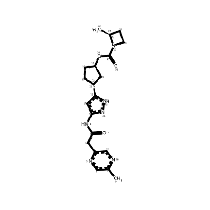 Cc1cnc(CC(=O)Nc2cc([C@H]3CCC(OC(=O)N4CC[C@@H]4C)C3)[nH]n2)cn1